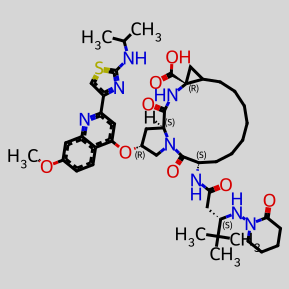 COc1ccc2c(O[C@@H]3C[C@H]4C(=O)N[C@]5(C(=O)O)CC5CCCCCCC[C@H](NC(=O)C[C@H](NN5CCCCC5=O)C(C)(C)C)C(=O)N4C3)cc(-c3csc(NC(C)C)n3)nc2c1